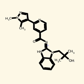 Cc1c(-c2cc(C(=O)/N=c3\[nH]c4ccccc4n3CC(C)(C)O)ccn2)cnn1C